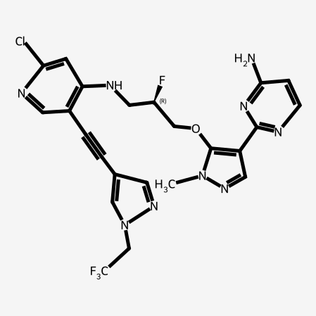 Cn1ncc(-c2nccc(N)n2)c1OC[C@H](F)CNc1cc(Cl)ncc1C#Cc1cnn(CC(F)(F)F)c1